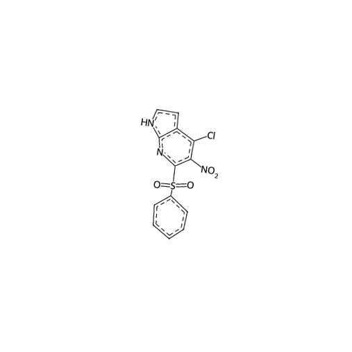 O=[N+]([O-])c1c(S(=O)(=O)c2ccccc2)nc2[nH]ccc2c1Cl